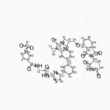 CS(=O)(=O)n1ccc(C(=O)NCC(=O)Nc2nc(-c3cccc(-c4ccnc(C5(C(=O)N6CC(COc7cccc8c7C(=O)N(C7CCC(=O)NC7=O)C8=O)C6)CC5)c4)c3)cs2)c1